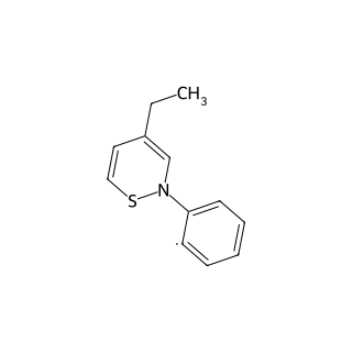 CCC1=CN(c2[c]cccc2)SC=C1